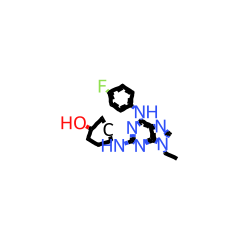 CCn1cnc2c(Nc3ccc(F)cc3)nc(NC3CCC(O)CC3)nc21